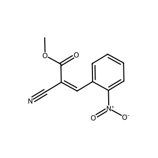 COC(=O)C(C#N)=Cc1ccccc1[N+](=O)[O-]